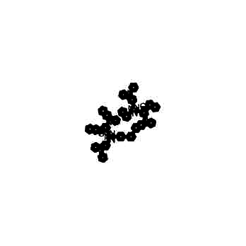 c1ccc(-n2c3ccccc3c3cc(-c4nc(-c5ccc(-c6cccc(-c7ccc8cc9c(cc8c7)c7ccccc7n9-c7cc(-c8nc(-c9ccc%10c(c9)c9ccccc9n%10-c9ccccc9)nc(-c9cccc%10ccccc9%10)n8)c8oc9ccc%10ccccc%10c9c8c7)c6)cc5)nc(-c5cc(-n6c7ccccc7c7cc8ccccc8cc76)cc6c5oc5cc7ccccc7cc56)n4)ccc32)cc1